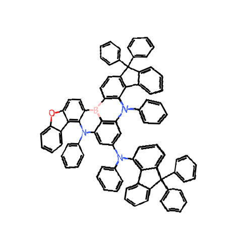 c1ccc(N(c2cc3c4c(c2)N(c2ccccc2)c2c(ccc5oc6ccccc6c25)B4c2ccc4c(c2N3c2ccccc2)-c2ccccc2C4(c2ccccc2)c2ccccc2)c2cccc3c2-c2ccccc2C3(c2ccccc2)c2ccccc2)cc1